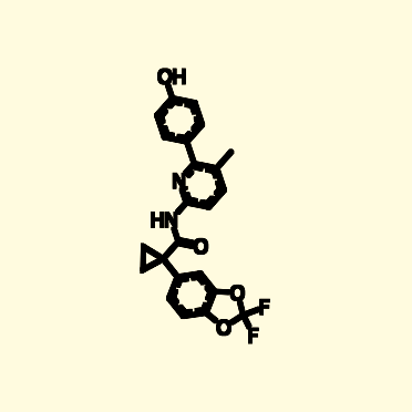 Cc1ccc(NC(=O)C2(c3ccc4c(c3)OC(F)(F)O4)CC2)nc1-c1ccc(O)cc1